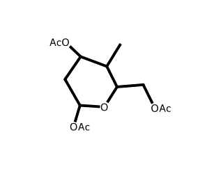 CC(=O)OCC1OC(OC(C)=O)CC(OC(C)=O)C1C